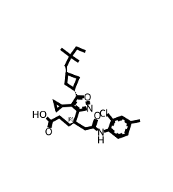 CCC(C)(C)C[C@H]1C[C@H](c2onc([C@H](CCC(=O)O)CC(=O)Nc3ccc(C)cc3Cl)c2C2CC2)C1